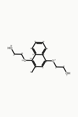 Cc1cc(OCCO)c2ccccc2c1OCCO